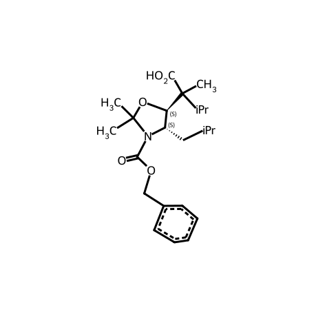 CC(C)C[C@H]1[C@H](C(C)(C(=O)O)C(C)C)OC(C)(C)N1C(=O)OCc1ccccc1